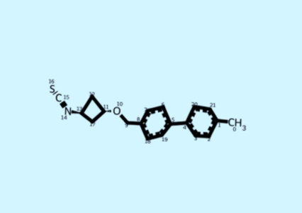 Cc1ccc(-c2ccc(CO[C@H]3C[C@H](N=C=S)C3)cc2)cc1